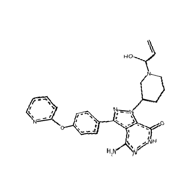 C=CC(O)N1CCCC(n2nc(-c3ccc(Oc4ccccn4)cc3)c3c(N)n[nH]c(=O)c32)C1